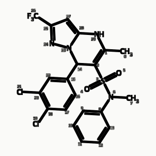 CC1=C(S(=O)(=O)N(C)c2ccccc2)C(c2ccc(Cl)c(Cl)c2)n2nc(C(F)(F)F)cc2N1